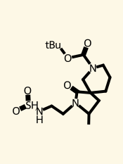 CC1CC2(CCCN(C(=O)OC(C)(C)C)C2)C(=O)N1CCN[SH](=O)=O